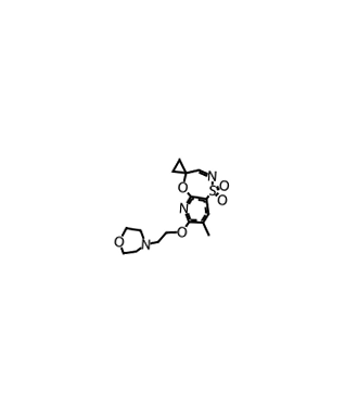 Cc1cc2c(nc1OCCN1CCOCC1)OC1(C=NS2(=O)=O)CC1